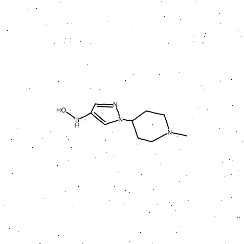 CN1CCC(n2cc(BO)cn2)CC1